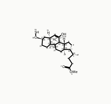 COC(=O)CC[C@@H](C)[C@H]1CC[C@H]2[C@@H]3C(O)=C[C@@H]4C[C@H](OS)CC[C@]4(C)[C@H]3CC[C@]12C